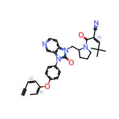 C#C/C=C\C(=C/C)Oc1ccc(-n2c(=O)n(CC3CCCN3C(=O)/C(C#N)=C\C(C)(C)C)c3ccncc32)cc1